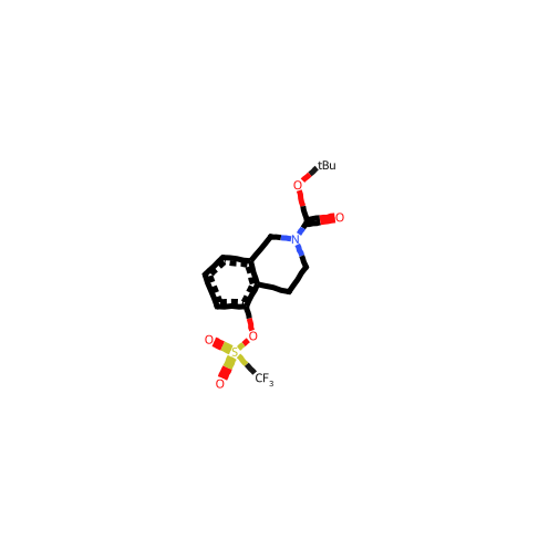 CC(C)(C)OC(=O)N1CCc2c(cccc2OS(=O)(=O)C(F)(F)F)C1